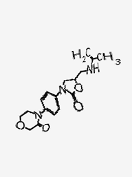 C=C(C)NCC1CN(c2ccc(N3CCOCC3=O)cc2)C(=O)O1